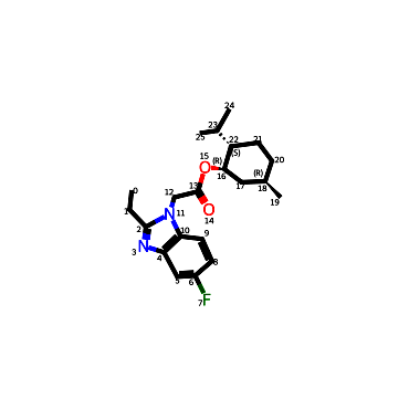 CCc1nc2cc(F)ccc2n1CC(=O)O[C@@H]1C[C@H](C)CC[C@H]1C(C)C